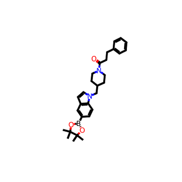 CC1(C)OB(c2ccc3c(ccn3CC3CCN(C(=O)CCc4ccccc4)CC3)c2)OC1(C)C